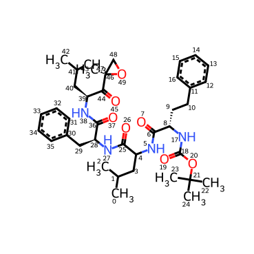 CC(C)CC(NC(=O)[C@H](CCc1ccccc1)NC(=O)OC(C)(C)C)C(=O)N[C@@H](Cc1ccccc1)C(=O)N[C@@H](CC(C)C)C(=O)[C@@]1(C)CO1